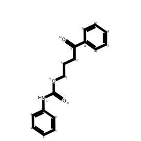 O=C(Nc1ccccc1)OCCCC(=O)c1ccccc1